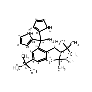 CC(C)(C)P(Cc1ccc([Si](C)(C)C)cc1C(P)(c1ccc[nH]1)c1ccc[nH]1)C(C)(C)C